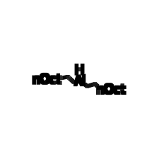 CCCCCCCCC[CH2][AlH][CH2]CCCCCCCCC